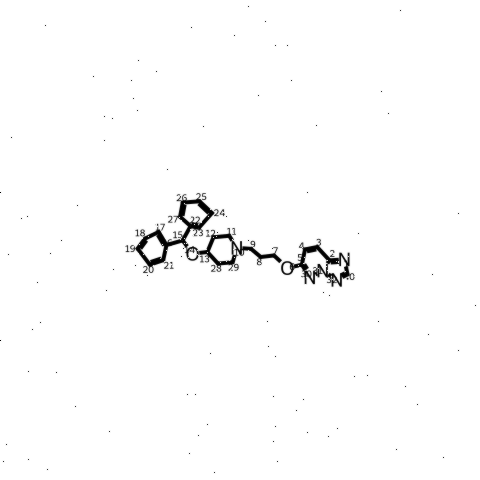 [c]1nc2ccc(OCCCN3CCC(OC(c4ccccc4)c4ccccc4)CC3)nn2n1